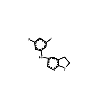 Fc1cc(F)cc(Nc2cnc3c(c2)CCN3)c1